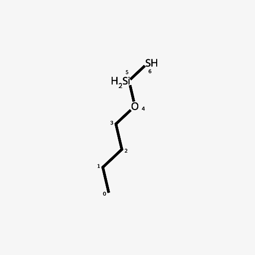 CCCCO[SiH2]S